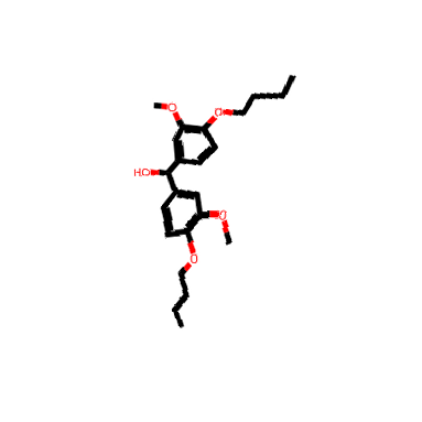 CCCCOc1ccc(C(O)c2ccc(OCCCC)c(OC)c2)cc1OC